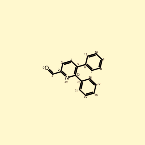 O=Cc1ccc(-c2ccccc2)c(-c2ccccc2)n1